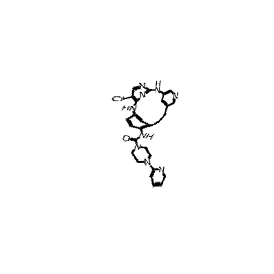 O=C(Nc1ccc2cc1CCc1cncc(c1)Nc1ncc(Cl)c(n1)N2)N1CCN(c2ccccn2)CC1